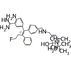 BC(C)(C)N(C(=C)/C=C/CNCc1ccc(/C(=C(/CCF)c2ccccc2)c2ccc(N)c(C(=N)N)c2)cc1)C(C)(C)O